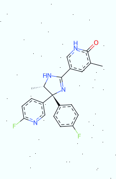 Cc1cc(C2=N[C@](c3ccc(F)cc3)(c3ccc(F)nc3)[C@H](C)N2)c[nH]c1=O